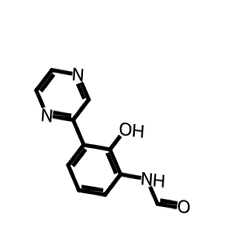 O=CNc1cccc(-c2cnccn2)c1O